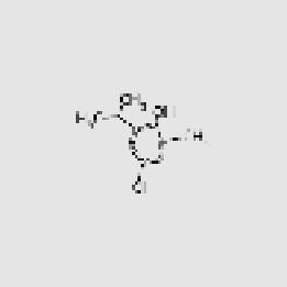 Cc1cc(Cl)cc(C(C)C)c1O